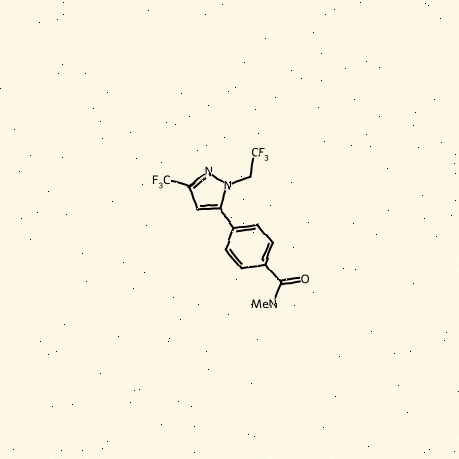 CNC(=O)c1ccc(-c2cc(C(F)(F)F)nn2CC(F)(F)F)cc1